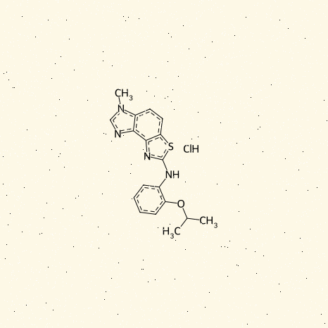 CC(C)Oc1ccccc1Nc1nc2c(ccc3c2ncn3C)s1.Cl